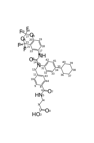 O=C(O)CCNC(=O)c1ccc(CN(C(=O)Nc2ccc3c(c2)C(F)(F)OC(F)(F)O3)c2ccc(C3CCCCC3)cc2)cc1